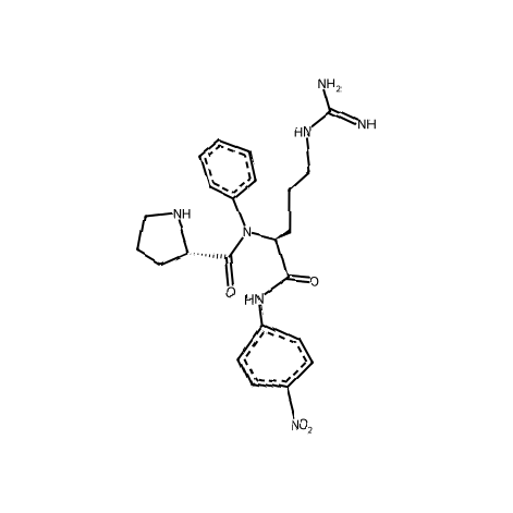 N=C(N)NCCC[C@@H](C(=O)Nc1ccc([N+](=O)[O-])cc1)N(C(=O)[C@@H]1CCCN1)c1ccccc1